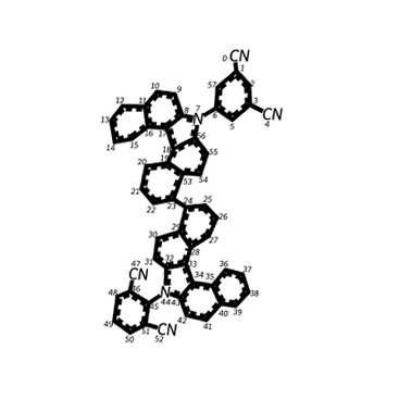 N#Cc1cc(C#N)cc(-n2c3ccc4ccccc4c3c3c4cccc(-c5cccc6c5ccc5c6c6c7ccccc7ccc6n5-c5c(C#N)cccc5C#N)c4ccc32)c1